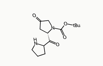 CC(C)(C)OC(=O)N1CC(=O)C[C@H]1C(=O)C1CCCN1